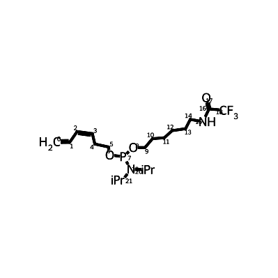 C=C/C=C\CCOP(OCCCCCCNC(=O)C(F)(F)F)N(C(C)C)C(C)C